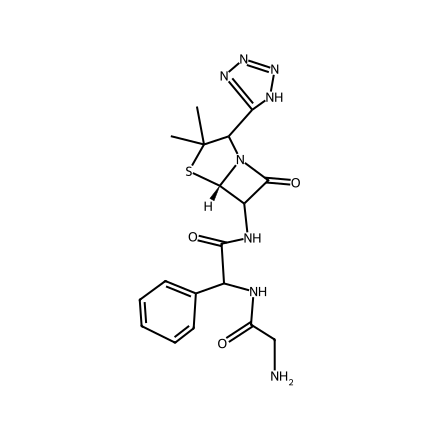 CC1(C)S[C@H]2C(NC(=O)C(NC(=O)CN)c3ccccc3)C(=O)N2C1c1nnn[nH]1